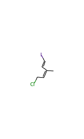 CC(=C/CCl)/C=C/I